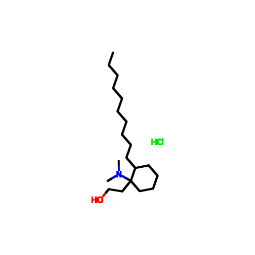 CCCCCCCCCCC1CCCCC1(CCO)N(C)C.Cl